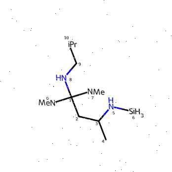 CNC(CC(C)N[SiH3])(NC)NCC(C)C